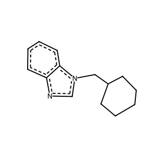 c1ccc2c(c1)ncn2CC1CCCCC1